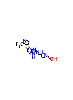 OCCN1CCC(CNc2nc3nc(Sc4cccnc4C(F)(F)F)cnc3[nH]2)CC1